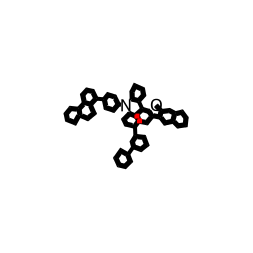 c1ccc(-c2cccc(-c3ccc(N(c4ccc(-c5cccc6c5ccc5ccccc56)cc4)c4ccccc4-c4cccc5c4oc4cc6ccccc6cc45)cc3)c2)cc1